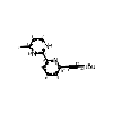 Cc1ccnc(-c2cccc(C#CC(C)(C)C)n2)n1